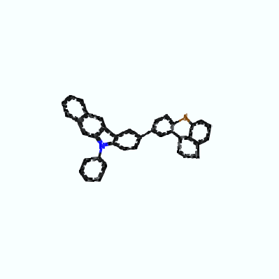 c1ccc(-n2c3ccc(-c4ccc5c(c4)-c4cccc6cccc(c46)S5)cc3c3cc4ccccc4cc32)cc1